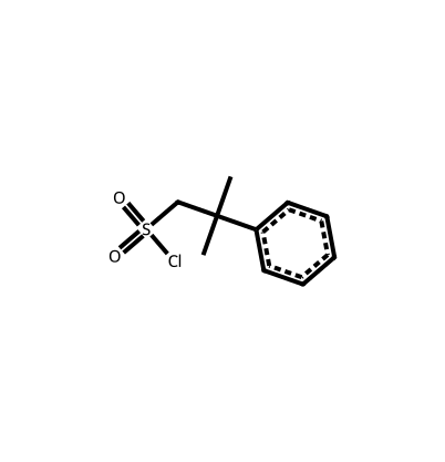 CC(C)(CS(=O)(=O)Cl)c1ccccc1